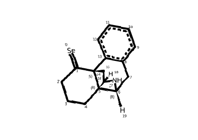 [Se]=C1CCC[C@H]2[C@H]3Cc4ccccc4[C@@]12CCN3